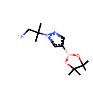 CC(C)(CN)n1cc(B2OC(C)(C)C(C)(C)O2)cn1